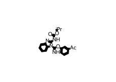 CC(=O)c1cccc(OC(=N)n2c(NC(=O)OC(C)C)nc3ccccc32)c1